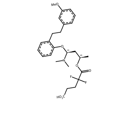 COc1cccc(CCc2ccccc2O[C@@H](C[C@@H](C)OC(=O)C(F)(F)CCC(=O)O)N(C)C)c1